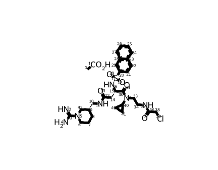 CC(=O)O.N=C(N)N1CCC[C@@H](CNC(=O)C[C@H](NS(=O)(=O)c2ccc3ccccc3c2)C(=O)N(CCNC(=O)CCl)C2CC2)C1